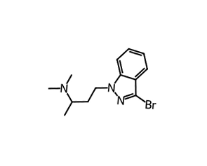 CC(CCn1nc(Br)c2ccccc21)N(C)C